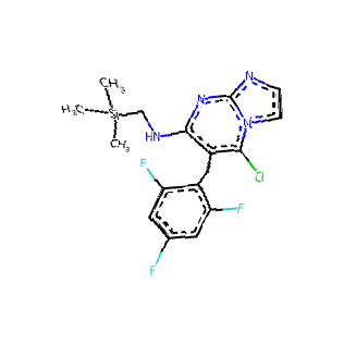 C[Si](C)(C)CNc1nc2nccn2c(Cl)c1-c1c(F)cc(F)cc1F